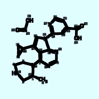 C[C@H]1CNCCN1c1ncnc2c1c(C1CC1)cn2-c1cc(C(=O)O)ccn1.O=NO